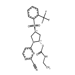 CCNC(=O)O[C@H]1C[C@H](S(=O)(=O)c2ccccc2C(F)(F)F)CN1c1ccnc(C#N)n1